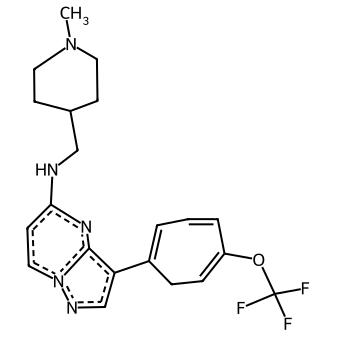 CN1CCC(CNc2ccn3ncc(C4=CC=CC(OC(F)(F)F)=CC4)c3n2)CC1